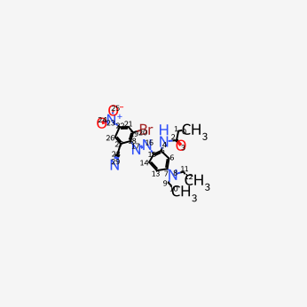 CCC(=O)Nc1cc(N(CC)CC)ccc1N=Nc1c(Br)cc([N+](=O)[O-])cc1C#N